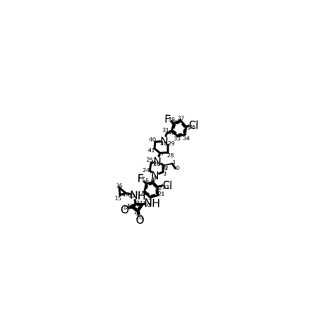 CC[C@H]1CN(c2c(F)cc(Nc3c(NC4CC4)c(=O)c3=O)cc2Cl)CCN1C1CCN(Cc2ccc(Cl)cc2F)CC1